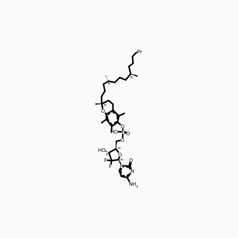 Cc1c(C)c2c(c(C)c1OP(=O)(O)OC[C@H]1O[C@@H](n3ccc(N)nc3=O)C(F)(F)[C@@H]1O)CC[C@@](C)(CCC[C@H](C)CCC[C@H](C)CCCC(C)C)O2